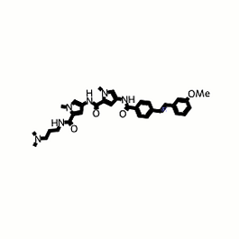 COc1cccc(/C=C/c2ccc(C(=O)Nc3cc(C(=O)Nc4cc(C(=O)NCCCN(C)C)n(C)c4)n(C)c3)cc2)c1